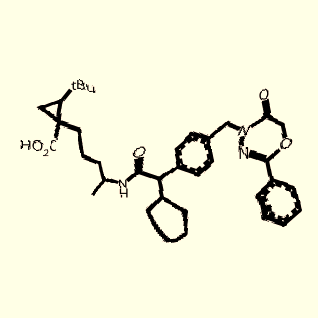 CC(CCCC1(C(=O)O)CC1C(C)(C)C)NC(=O)C(c1ccc(CN2N=C(c3ccccc3)OCC2=O)cc1)C1CCCC1